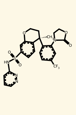 C[C@@]1(c2ccc(C(F)(F)F)cc2N2CCOC2=O)CCOc2cc(S(=O)(=O)Nc3cccnn3)ccc21